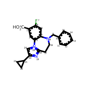 O=C(O)c1cc2c(cc1F)N(Cc1ccccc1)CCc1nc(C3CC3)cn1-2